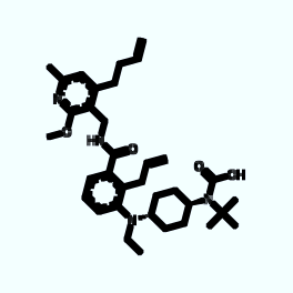 C=CCCc1cc(C)nc(OC)c1CNC(=O)c1cccc(N(CC)[C@H]2CC[C@H](N(C(=O)O)C(C)(C)C)CC2)c1CC=C